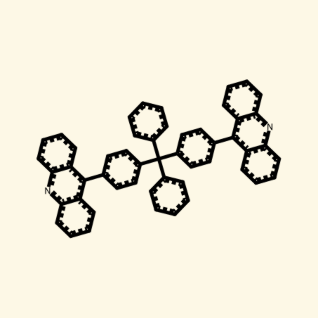 c1ccc(C(c2ccccc2)(c2ccc(-c3c4ccccc4nc4ccccc34)cc2)c2ccc(-c3c4ccccc4nc4ccccc34)cc2)cc1